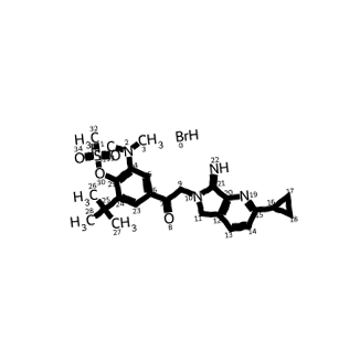 Br.CN(C)c1cc(C(=O)CN2Cc3ccc(C4CC4)nc3C2=N)cc(C(C)(C)C)c1OS(C)(=O)=O